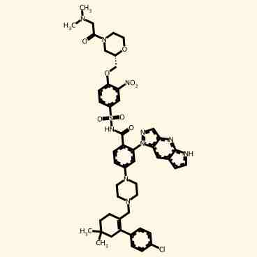 CN(C)CC(=O)N1CCO[C@H](COc2ccc(S(=O)(=O)NC(=O)c3ccc(N4CCN(CC5=C(c6ccc(Cl)cc6)CC(C)(C)CC5)CC4)cc3-n3ncc4nc5[nH]ccc5cc43)cc2[N+](=O)[O-])C1